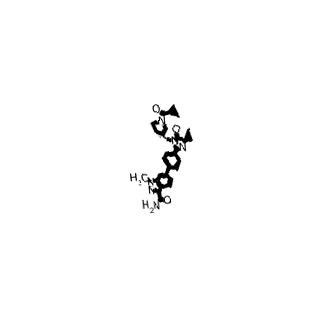 Cn1nc(C(N)=O)c2ccc(-c3ccc(C4=NC5(CC5)C(=O)N4C[C@@H]4CCN(C(=O)C5CC5)C4)cc3)cc21